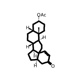 CC(=O)O[C@@H]1CC[C@@]2(C)[C@H](CC[C@H]3[C@@H]4CC[C@@H]5CC(=O)C=CC54CC[C@@H]32)C1